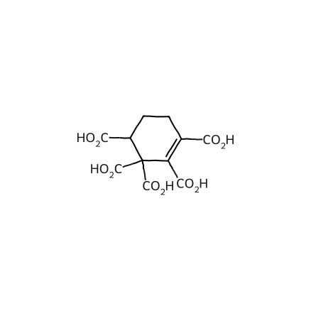 O=C(O)C1=C(C(=O)O)C(C(=O)O)(C(=O)O)C(C(=O)O)CC1